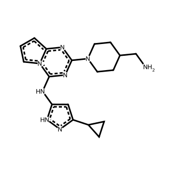 NCC1CCN(c2nc(Nc3cc(C4CC4)n[nH]3)n3cccc3n2)CC1